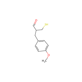 COc1ccc(CC([C]=O)CS)cc1